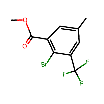 COC(=O)c1cc(C)cc(C(F)(F)F)c1Br